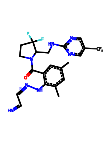 Cc1cc(C)c(N/N=C\C=N)c(C(=O)N2CCC(F)(F)C2CNc2ncc(C(F)(F)F)cn2)c1